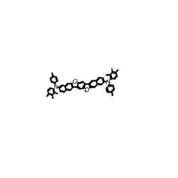 Cc1ccc(N(c2ccc3cc4c(cc3c2)oc2cc3c(cc24)oc2cc4cc(N(c5ccc(C)cc5)c5ccc(C)c(C)c5C)ccc4cc23)c2ccc(C)c(C)c2C)cc1